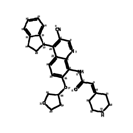 N#Cc1cnc2c(NC(=O)C=C3CCNCC3)c(OC3CCOC3)ccc2c1N1CCc2ccccc21